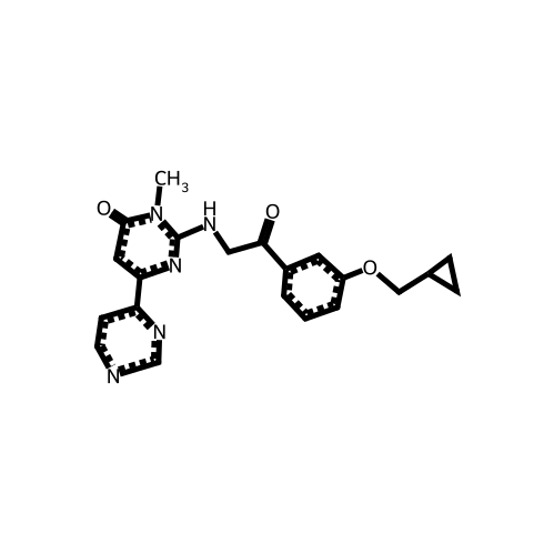 Cn1c(NCC(=O)c2cccc(OCC3CC3)c2)nc(-c2ccncn2)cc1=O